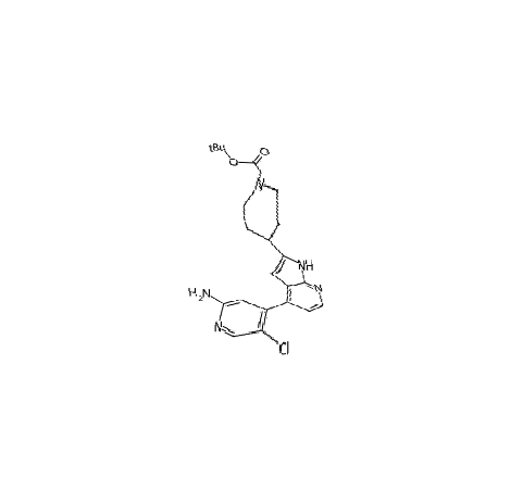 CC(C)(C)OC(=O)N1CCC(c2cc3c(-c4cc(N)ncc4Cl)ccnc3[nH]2)CC1